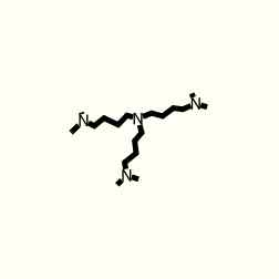 CN(C)CCCCN(CCCCN(C)C)CCCCN(C)C